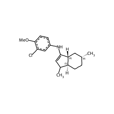 COc1ccc(NC2=CC(C)[C@@H]3CC[C@@H](C)C[C@@H]23)cc1Cl